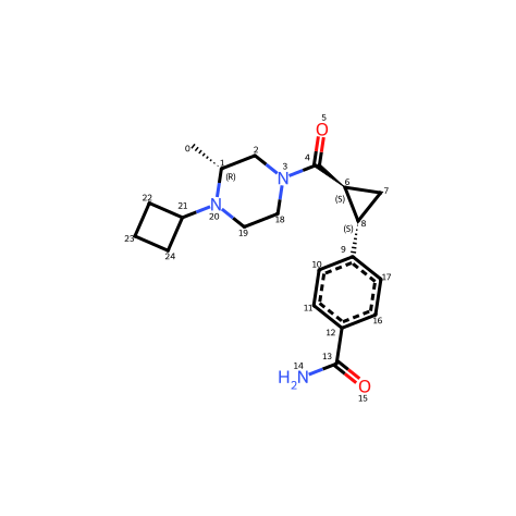 C[C@@H]1CN(C(=O)[C@H]2C[C@@H]2c2ccc(C(N)=O)cc2)CCN1C1CCC1